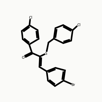 O=C(C(=Cc1ccc(Br)cc1)SCc1ccc(Cl)cc1)c1ccc(Cl)cc1